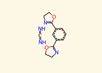 N=C=N.c1cc(C2=NCCO2)cc(C2=NCCO2)c1